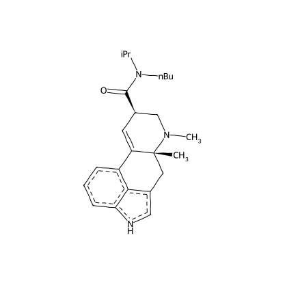 CCCCN(C(=O)[C@@H]1C=C2c3cccc4[nH]cc(c34)C[C@@]2(C)N(C)C1)C(C)C